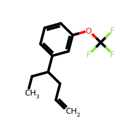 C=CCC(CC)c1cccc(OC(F)(F)F)c1